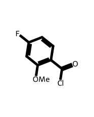 COc1cc(F)ccc1C(=O)Cl